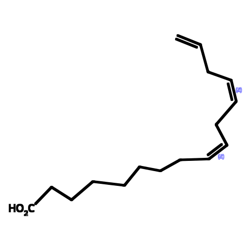 C=CC/C=C\C/C=C\CCCCCCCC(=O)O